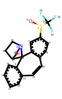 [O-][S@+](c1ccc2c(c1)C1(c3ccccc3C=C2)C2CCN1CC2)C(F)(F)F